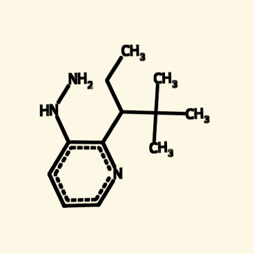 CCC(c1ncccc1NN)C(C)(C)C